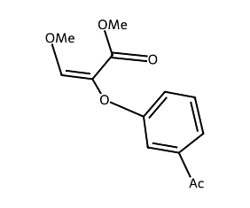 COC=C(Oc1cccc(C(C)=O)c1)C(=O)OC